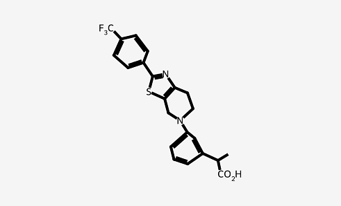 CC(C(=O)O)c1cccc(N2CCc3nc(-c4ccc(C(F)(F)F)cc4)sc3C2)c1